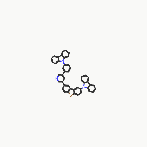 c1cc(-c2cncc(-c3ccc4sc5ccc(-n6c7ccccc7c7ccccc76)cc5c4c3)c2)cc(-n2c3ccccc3c3ccccc32)c1